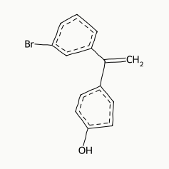 C=C(c1ccc(O)cc1)c1cccc(Br)c1